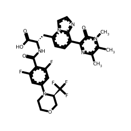 Cc1nc(-c2ccc(C[C@H](NC(=O)c3c(F)cc(N4CCOC[C@@H]4C(F)(F)F)cc3F)C(=O)O)n3ccnc23)c(=O)n(C)c1C